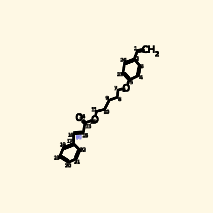 C=Cc1ccc(OCCCCCOC(=O)/C=C/c2ccccc2)cc1